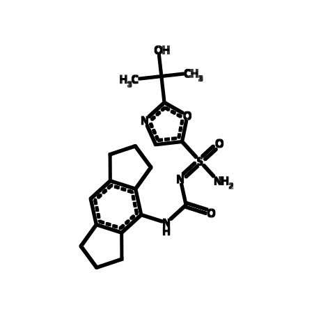 CC(C)(O)c1ncc(S(N)(=O)=NC(=O)Nc2c3c(cc4c2CCC4)CCC3)o1